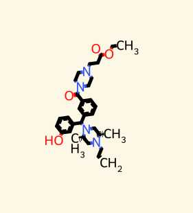 C=CCN1C[C@@H](C)N(C(c2cccc(O)c2)c2cccc(C(=O)N3CCN(CCC(=O)OCC)CC3)c2)C[C@H]1C